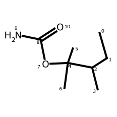 CCC(C)C(C)(C)OC(N)=O